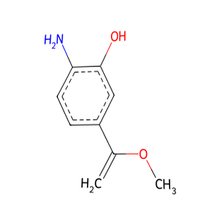 C=C(OC)c1ccc(N)c(O)c1